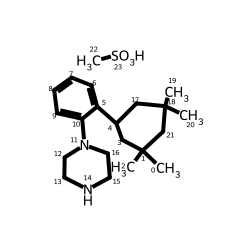 CC1(C)CC(c2ccccc2N2CCNCC2)CC(C)(C)C1.CS(=O)(=O)O